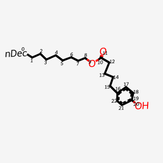 CCCCCCCCCCCCCCCCCCOC(=O)CCCCc1ccc(O)cc1